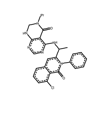 CC(Nc1ncnc2c1C(=O)N(C(C)C)CN2)c1cc2cccc(Cl)c2c(=O)n1-c1ccccc1